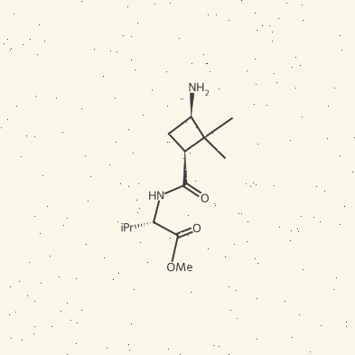 COC(=O)[C@@H](NC(=O)[C@H]1C[C@@H](N)C1(C)C)C(C)C